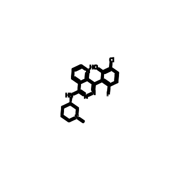 CN1CCC[C@@H](Nc2nnc(-c3c(F)ccc(Cl)c3O)c3ncccc23)C1